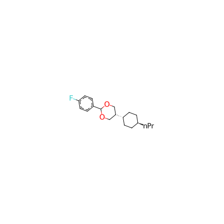 CCC[C@H]1CC[C@H](C2COC(c3ccc(F)cc3)OC2)CC1